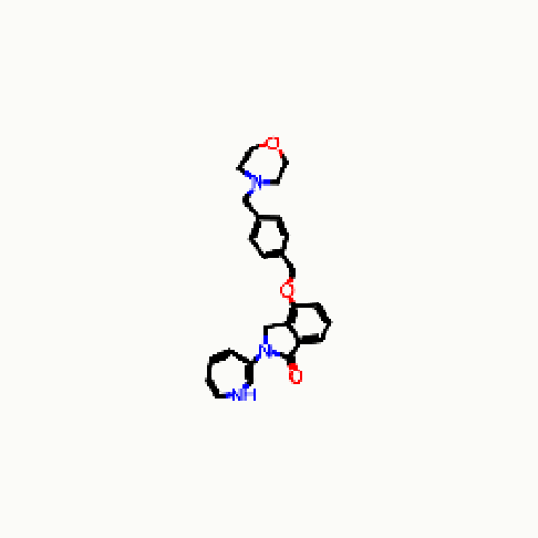 O=C1c2cccc(OCc3ccc(CN4CCOCC4)cc3)c2CN1C1=CNC=CC=C1